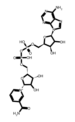 NC(=O)c1ccc[n+]([C@@H]2O[C@H](COP(=O)(O)OP(=O)(O)OC[C@H]3O[C@@H](n4cnc5c(N)ncnc54)C(O)[C@H]3O)[C@H](O)C2O)c1